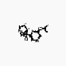 CC(C)Oc1cncc(C2(Cl)CN3CCC2C3)n1